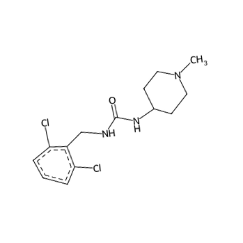 CN1CCC(NC(=O)NCc2c(Cl)cccc2Cl)CC1